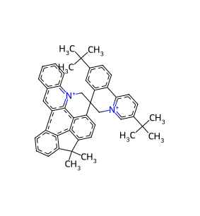 CC(C)(C)c1ccc2c(c1)C1(C[n+]3cc(C(C)(C)C)ccc3-2)C[n+]2c3ccccc3cc3c4cccc5c4c4c(ccc1c4c32)C5(C)C